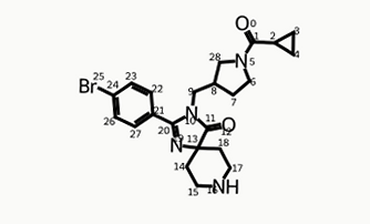 O=C(C1CC1)N1CCC(CN2C(=O)C3(CCNCC3)N=C2c2ccc(Br)cc2)C1